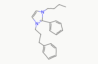 CCCCn1cc[n+](CCCc2ccccc2)c1-c1ccccc1